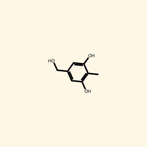 Cc1c(O)cc(CO)cc1O